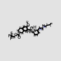 CCC/C=N/N=C/C1=CC=CC(NC(=O)c2cc3c(cc2OC)CCN(C(=O)OCC(F)(F)F)C3)N1